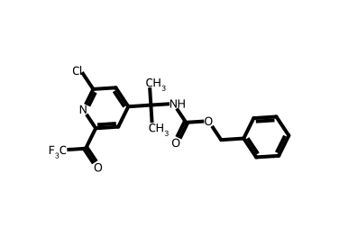 CC(C)(NC(=O)OCc1ccccc1)c1cc(Cl)nc(C(=O)C(F)(F)F)c1